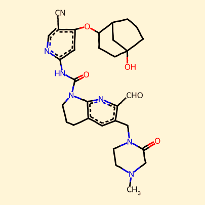 CN1CCN(Cc2cc3c(nc2C=O)N(C(=O)Nc2cc(OC4CCC5(O)CCCC4C5)c(C#N)cn2)CCC3)C(=O)C1